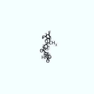 CC(Oc1c(F)cc(F)cc1F)C1CCN(C(=O)C2CC3(COC(=O)N3)C2)CC1